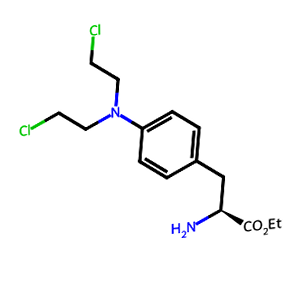 CCOC(=O)[C@@H](N)Cc1ccc(N(CCCl)CCCl)cc1